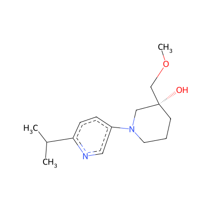 COC[C@@]1(O)CCCN(c2ccc(C(C)C)nc2)C1